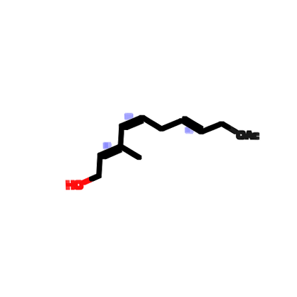 CC(=O)OC/C=C/C/C=C\C(C)=C\CO